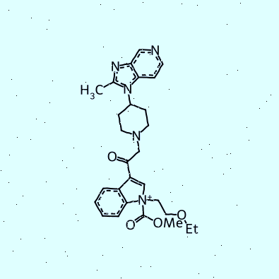 CCOCC[N+]1(C(=O)OC)C=C(C(=O)CN2CCC(n3c(C)nc4cnccc43)CC2)c2ccccc21